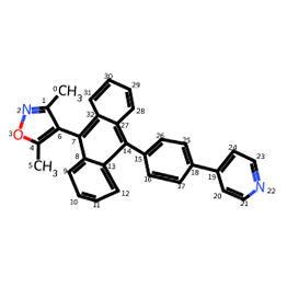 Cc1noc(C)c1-c1c2ccccc2c(-c2ccc(-c3ccncc3)cc2)c2ccccc12